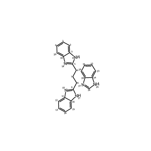 c1ccc2[nH]c(CCCc3nc4ccccc4[nH]3)nc2c1.c1ccc2[nH]cnc2c1